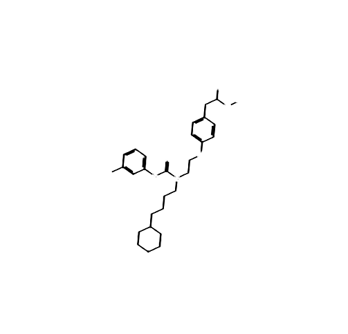 CCOC(Cc1ccc(OCCN(CCCCC2CCCCC2)C(=O)Nc2cccc(C)c2)cc1)C(=O)O